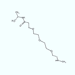 CNCCOCCOCCOCCC(=O)NC(C)C